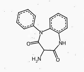 NC1C(=O)Nc2ccccc2N(c2ccccc2)C1=O